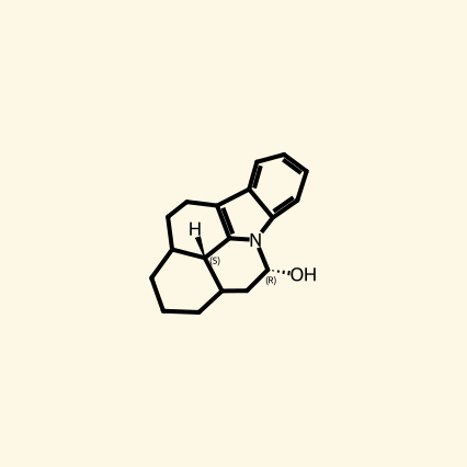 O[C@@H]1CC2CCCC3CCc4c(n1c1ccccc41)[C@@H]32